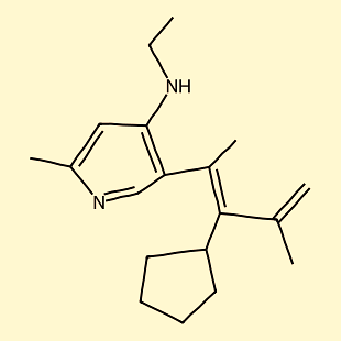 C=C(C)/C(=C(\C)c1cnc(C)cc1NCC)C1CCCC1